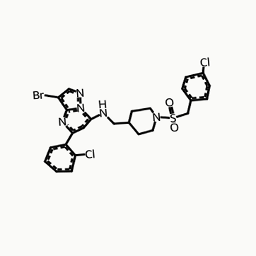 O=S(=O)(Cc1ccc(Cl)cc1)N1CCC(CNc2cc(-c3ccccc3Cl)nc3c(Br)cnn23)CC1